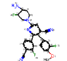 COc1ccc(-c2c(C#N)cc(N3CCC(N)C(F)C3)nc2-c2ccc(C#N)c(F)c2)cc1F